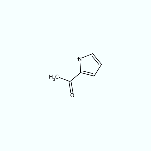 CC(=O)C1=CC=C[N]1